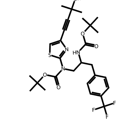 CC(C)(O)C#Cc1csc(N(CC(Cc2ccc(C(F)(F)F)cc2)NC(=O)OC(C)(C)C)C(=O)OC(C)(C)C)n1